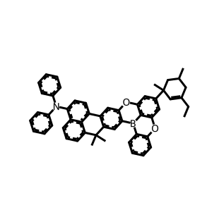 CCC1=CC(C)(c2cc3c4c(c2)Oc2cc5c(cc2B4c2ccccc2O3)C(C)(C)c2cccc3c(N(c4ccccc4)c4ccccc4)ccc-5c23)CC(C)C1